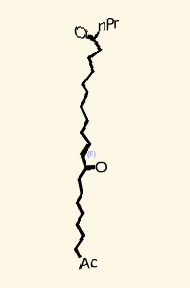 CCCC(=O)CCCCCCCC/C=C/C(=O)CCCCCCCC(C)=O